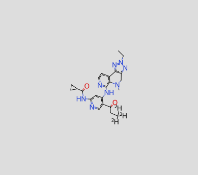 [2H]C([2H])([2H])CC(=O)c1cnc(NC(=O)C2CC2)cc1Nc1nccc2c1N(C)Cc1nn(CC)nc1-2